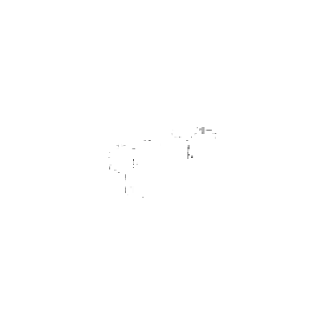 Cc1cccc(CCSC(=N)N)c1